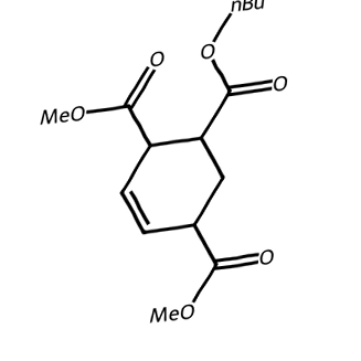 CCCCOC(=O)C1CC(C(=O)OC)C=CC1C(=O)OC